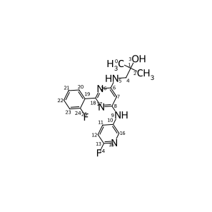 CC(C)(O)CNc1cc(Nc2ccc(F)nc2)nc(-c2ccccc2F)n1